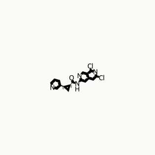 O=C(Nc1cc2cc(Cl)nc(Cl)c2cn1)[C@@H]1C[C@H]1c1cccnc1